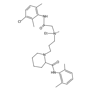 CC[N+](C)(CCCN1CCCCC1C(=O)Nc1c(C)cccc1C)CC(=O)Nc1c(C)ccc(Cl)c1C